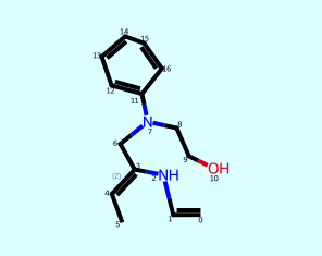 C=CN/C(=C\C)CN(CCO)c1ccccc1